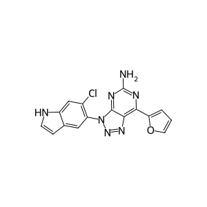 Nc1nc(-c2ccco2)c2nnn(-c3cc4cc[nH]c4cc3Cl)c2n1